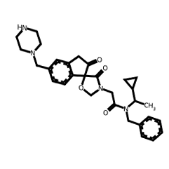 CC(C1CC1)N(Cc1ccccc1)C(=O)CN1COC2(C(=O)Cc3cc(CN4CCNCC4)ccc32)C1=O